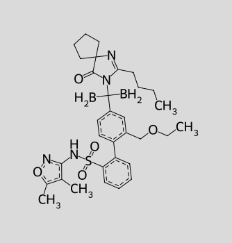 BC(B)(c1ccc(-c2ccccc2S(=O)(=O)Nc2noc(C)c2C)c(COCC)c1)N1C(=O)C2(CCCC2)N=C1CCCC